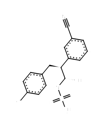 C[C@H](NS(C)(=O)=O)[C@@H](Cc1ccc(Cl)cc1)c1cccc(C#N)c1